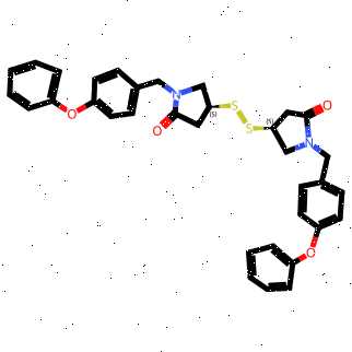 O=C1C[C@H](SS[C@H]2CC(=O)N(Cc3ccc(Oc4ccccc4)cc3)C2)CN1Cc1ccc(Oc2ccccc2)cc1